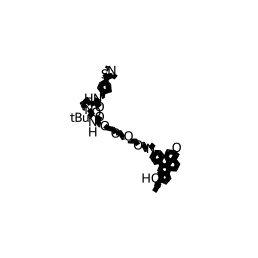 CC#CC1(O)CCC2C3CCC4=CC(=O)CCC4=C3C(c3ccc(N(C)CCOCCOCCOCCOCC(=O)NC(C(=O)N4CCCC4C(=O)NCc4ccc(-c5scnc5C)cc4)C(C)(C)C)cc3)CC21C